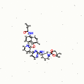 Cc1ccc2c(NC(=O)C3CC3)cccc2c1Oc1ncccc1-c1ccnc(NC2CCCN(C(=O)OC(C)(C)C)C2)n1